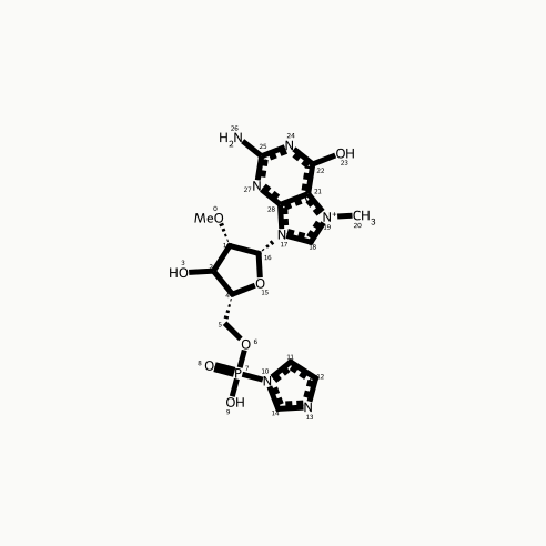 CO[C@H]1C(O)[C@@H](COP(=O)(O)n2ccnc2)O[C@H]1n1c[n+](C)c2c(O)nc(N)nc21